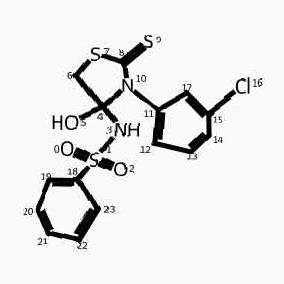 O=S(=O)(NC1(O)CSC(=S)N1c1cccc(Cl)c1)c1ccccc1